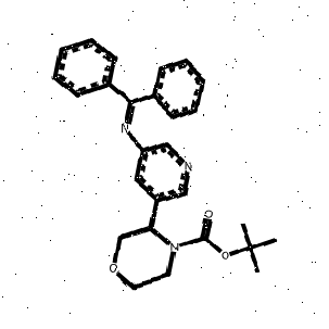 CC(C)(C)OC(=O)N1CCOCC1c1cncc(N=C(c2ccccc2)c2ccccc2)c1